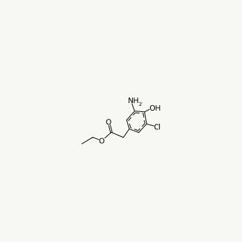 CCOC(=O)Cc1cc(N)c(O)c(Cl)c1